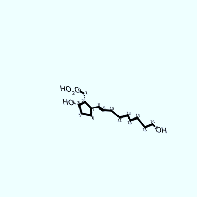 O=C(O)C[C@H]1[C@@H](O)CC[C@@H]1C=CCCCCCCCO